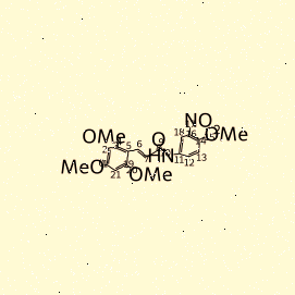 COc1cc(OC)c(/C=C/C(=O)Nc2ccc(OC)c([N+](=O)[O-])c2)c(OC)c1